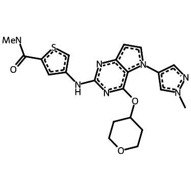 CNC(=O)c1cc(Nc2nc(OC3CCOCC3)c3c(ccn3-c3cnn(C)c3)n2)cs1